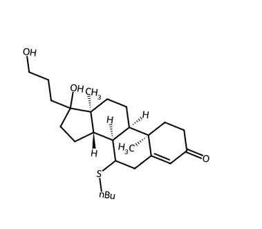 CCCCSC1CC2=CC(=O)CC[C@]2(C)[C@@H]2CC[C@@]3(C)[C@@H](CCC3(O)CCCO)[C@H]12